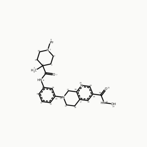 CC(C)N1CCC(C)(C(=O)Nc2cccc(N3CCc4cc(C(=O)NO)cnc4C3)c2)CC1